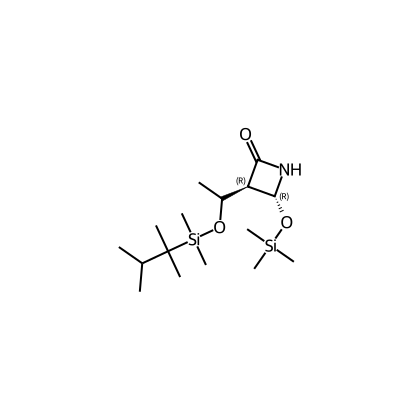 CC(O[Si](C)(C)C(C)(C)C(C)C)[C@H]1C(=O)N[C@@H]1O[Si](C)(C)C